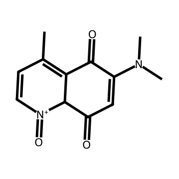 CC1=C2C(=O)C(N(C)C)=CC(=O)C2[N+](=O)C=C1